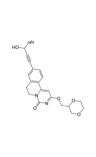 CCCC(O)C#Cc1ccc2c(c1)CCn1c-2cc(OCC2COCCO2)nc1=O